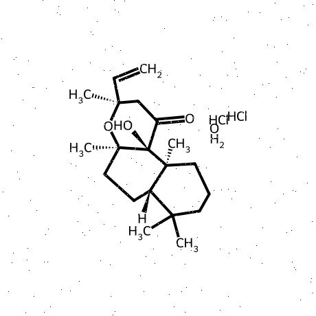 C=C[C@@]1(C)CC(=O)[C@@]2(O)[C@@](C)(CC[C@H]3C(C)(C)CCC[C@@]32C)O1.Cl.Cl.O